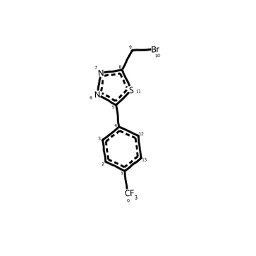 FC(F)(F)c1ccc(-c2nnc(CBr)s2)cc1